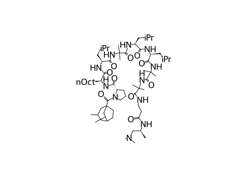 CCCCCCCC[C@H](NC(=O)[C@@H]1CCCN1C(=O)C12CCC(CC(C)C1)C(C)C2)C(=O)N[C@@H](CC(C)C)C(=O)NC(C)(C)C(=O)N[C@@H](CC(C)C)C(=O)N[C@@H](CC(C)C)C(=O)NC(C)(C)C(=O)NC(C)(C)C(=O)NCCC(=O)N[C@@H](C)CN(C)C